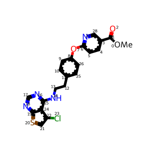 COC(=O)c1ccc(Oc2ccc(CCNc3ncnc4scc(Cl)c34)cc2)nc1